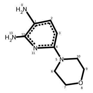 Nc1ccc(N2CCOCC2)nc1N